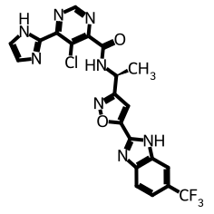 C[C@H](NC(=O)c1ncnc(-c2ncc[nH]2)c1Cl)c1cc(-c2nc3ccc(C(F)(F)F)cc3[nH]2)on1